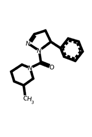 CC1CCCN(C(=O)N2N=CCC2c2ccccc2)C1